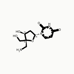 NC[C@]1(CO)O[C@@H](n2ccc(=O)[nH]c2=O)C[C@@H]1O